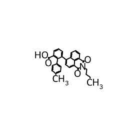 CCCCN1C(=O)c2cccc3c(-c4cccc(C(=O)O)c4-c4ccc(C)cc4)ccc(c23)C1=O